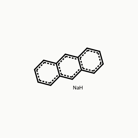 [NaH].c1ccc2cc3ccccc3cc2c1